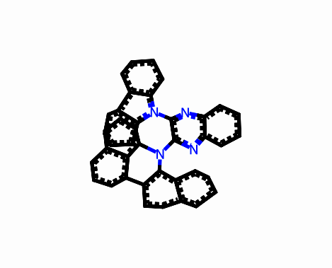 c1ccc2c3c(ccc2c1)-c1cccc2cccc(c12)N3c1nc2ccccc2nc1-n1c2ccccc2c2ccccc21